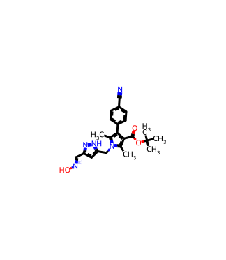 Cc1c(C(=O)OC(C)(C)C)c(-c2ccc(C#N)cc2)c(C)n1Cc1cc(/C=N/O)n[nH]1